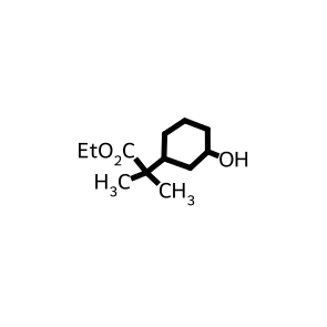 CCOC(=O)C(C)(C)C1CCCC(O)C1